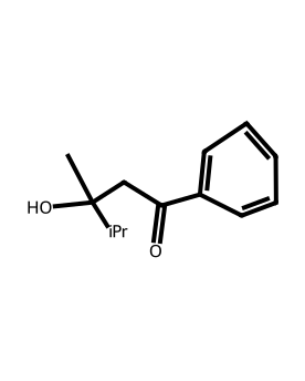 CC(C)C(C)(O)CC(=O)c1ccccc1